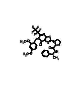 COc1ccc(Cn2c(C(F)(F)C(F)(F)F)nc3sc(N4CCCC4C(=O)N[C@H](C)c4ccccc4)nc3c2=O)c(OC)c1